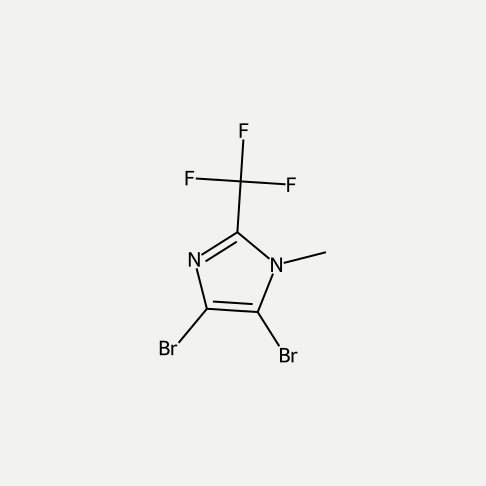 Cn1c(C(F)(F)F)nc(Br)c1Br